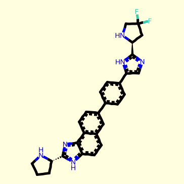 FC1(F)CN[C@H](c2ncc(-c3ccc(-c4ccc5c(ccc6[nH]c([C@@H]7CCCN7)nc65)c4)cc3)[nH]2)C1